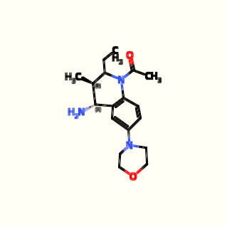 CCC1[C@H](C)[C@@H](N)c2cc(N3CCOCC3)ccc2N1C(C)=O